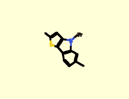 Cc1ccc2c3sc(C)cc3n(C(C)C)c2c1